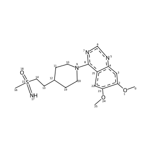 COc1cc2ncnc(N3CCC(CCS(C)(=N)=O)CC3)c2cc1OC